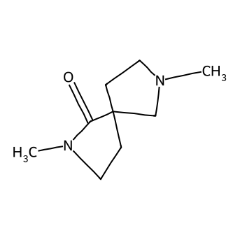 CN1CCC2(CCN(C)C2=O)C1